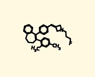 Cc1ccc(C2=C(c3ccc(C=C4CN(CCCF)C4)cc3)c3ccccc3CCC2)c(C)c1